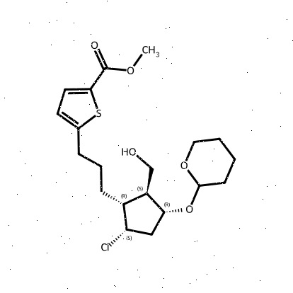 COC(=O)c1ccc(CCC[C@@H]2[C@@H](CO)[C@H](OC3CCCCO3)C[C@@H]2Cl)s1